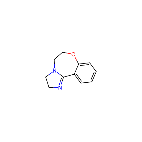 c1ccc2c(c1)OCCN1CCN=C21